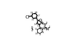 CI.CN=C(SC)N1CCCCC1c1cc(-c2cccc(Cl)c2)on1